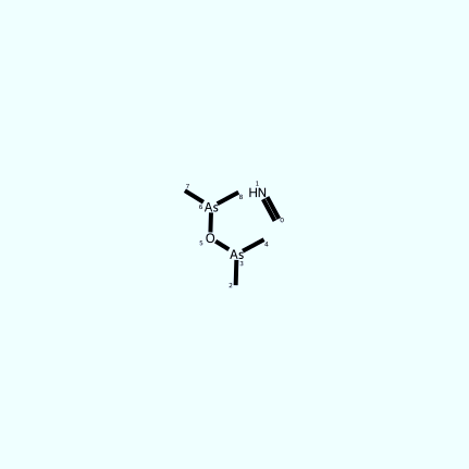 C=N.C[As](C)O[As](C)C